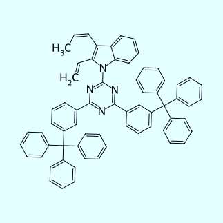 C=Cc1c(/C=C\C)c2ccccc2n1-c1nc(-c2cccc(C(c3ccccc3)(c3ccccc3)c3ccccc3)c2)nc(-c2cccc(C(c3ccccc3)(c3ccccc3)c3ccccc3)c2)n1